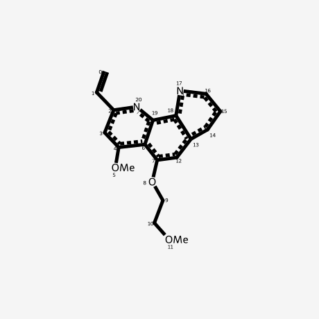 C=Cc1cc(OC)c2c(OCCOC)cc3cccnc3c2n1